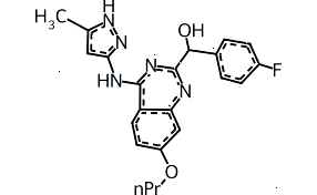 CCCOc1ccc2c(Nc3cc(C)[nH]n3)nc(C(O)c3ccc(F)cc3)nc2c1